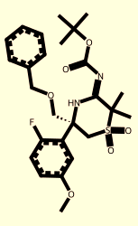 COc1ccc(F)c([C@]2(COCc3ccccc3)CS(=O)(=O)C(C)(C)/C(=N/C(=O)OC(C)(C)C)N2)c1